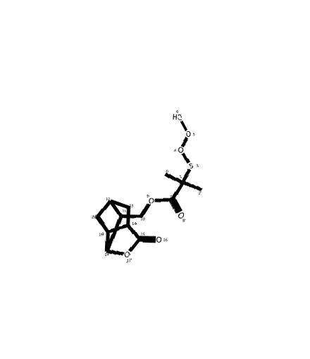 CC(C)(SOOO)C(=O)OCC1C2CC3C(=O)OC1C3C2